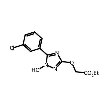 CCOC(=O)COc1nc(-c2cccc(Cl)c2)n(O)n1